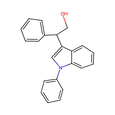 OCC(c1ccccc1)c1cn(-c2ccccc2)c2ccccc12